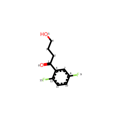 O=C(CCCO)c1cc(F)ccc1F